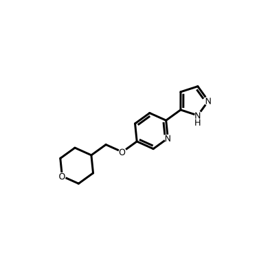 c1cc(-c2ccc(OCC3CCOCC3)cn2)[nH]n1